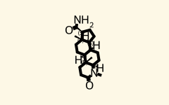 CN1C(=O)CC[C@]2(C)[C@H]3CC[C@]4(C)[C@@H](C(N)=O)CC[C@H]4[C@@H]3CC[C@@H]12